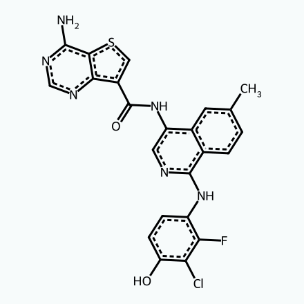 Cc1ccc2c(Nc3ccc(O)c(Cl)c3F)ncc(NC(=O)c3csc4c(N)ncnc34)c2c1